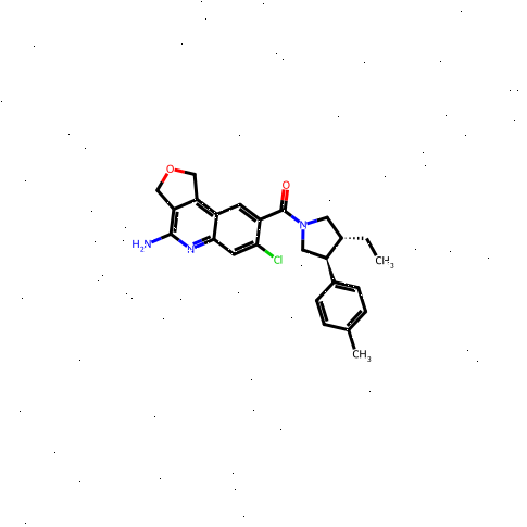 CC[C@H]1CN(C(=O)c2cc3c4c(c(N)nc3cc2Cl)COC4)C[C@@H]1c1ccc(C)cc1